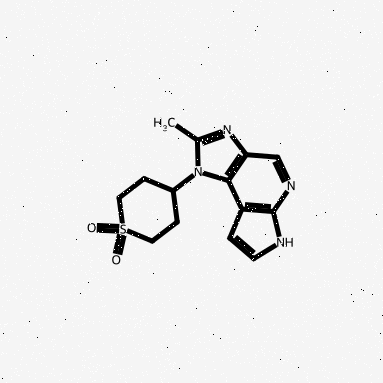 Cc1nc2cnc3[nH]ccc3c2n1C1CCS(=O)(=O)CC1